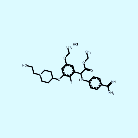 CCOC(=O)C(Nc1ccc(C(=N)N)cc1)c1cc(OCC)cc(OC2CCN(CCO)CC2)c1F.Cl